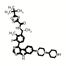 Cc1c([C@@H](C)NC(=O)c2noc(C(C)(C)C)n2)ccc(-c2ncnc3[nH]c4cc(N5CCN(C6CCNCC6)CC5)ccc4c23)c1F